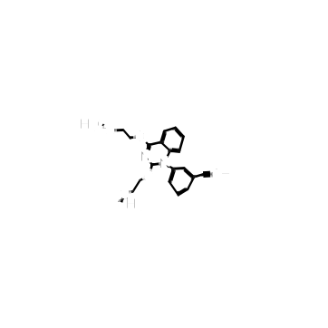 C#Cc1cccc(N2c3ccccc3C(OCCOC)=NC2OCCOC)c1